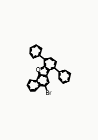 Brc1cc2c(oc3c(-c4ccccc4)ccc(-c4ccccc4)c32)c2ccccc12